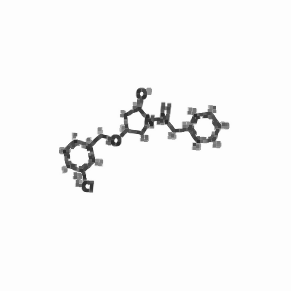 O=C1CC(OCc2cccc(Cl)c2)CN1NCc1ccccc1